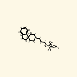 CS(=O)(=O)OCCCN1CCC2(CCc3ccccc32)CC1